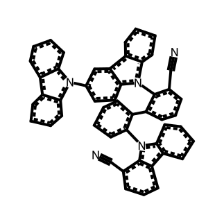 N#Cc1cccc(-c2ccccc2-n2c3ccccc3c3cccc(C#N)c32)c1-n1c2ccccc2c2cc(-n3c4ccccc4c4ccccc43)ccc21